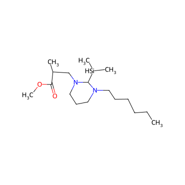 CCCCCCN1CCCN(CC(C)C(=O)OC)C1[SiH](C)C